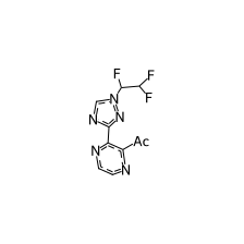 CC(=O)c1nccnc1-c1ncn(C(F)C(F)F)n1